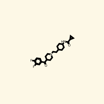 O=C(NC1CCC(CCN2CCC(C(=O)c3ccc(F)c(F)c3)CC2)CC1)C1CC1